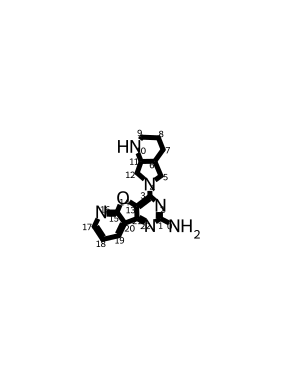 Nc1nc(N2CC3CCCNC3C2)c2oc3ncccc3c2n1